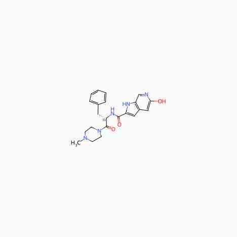 CN1CCN(C(=O)[C@H](Cc2ccccc2)NC(=O)c2cc3cc(O)ncc3[nH]2)CC1